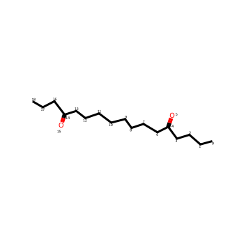 CCCCC(=O)CCCCCCCCC(=O)CCC